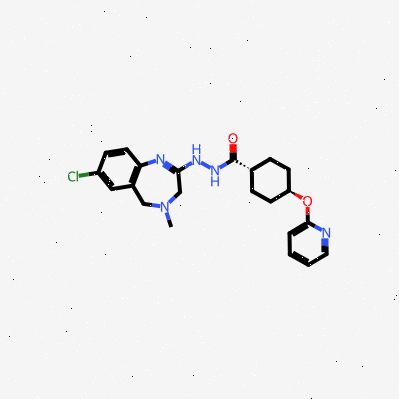 CN1CC(NNC(=O)[C@H]2CC[C@H](Oc3ccccn3)CC2)=Nc2ccc(Cl)cc2C1